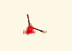 CCCCCCCCCCCCCCCC(=O)O[C@@H](COP(=O)(O)OC1C(O)[C@H](OP(=O)(O)O)C(O)[C@H](OP(=O)(O)O)[C@@H]1O)CC(=O)OCCCCCCCCCCCCCCCCS